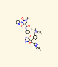 CC(C)n1cc(C(=O)Nc2ccc(Oc3ncnc4oc(-c5cnn(C)c5)c(-c5cccc(CN(C)C)c5)c34)cc2)c(=O)n(-c2ccccn2)c1=O